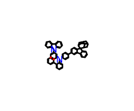 c1ccc(-c2ccccc2N(c2ccc(-c3ccc4c(c3)-c3ccccc3C43C4CC5CC(C4)CC3C5)cc2)c2cccc(-n3c4ccccc4c4ccccc43)c2)cc1